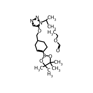 CC(C)n1nncc1OCC1CC=C(B2OC(C)(C)C(C)(C)O2)CC1.CCOC=O